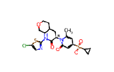 Cc1cc(S(=O)(=O)C2CC2)cc(=O)n1[C@H](CC1CCOCC1)C(=O)Nc1ncc(Cl)s1